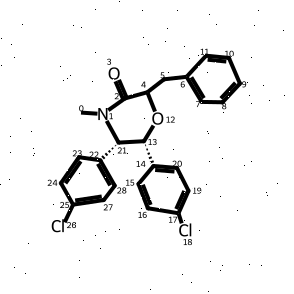 CN1C(=O)C(Cc2ccccc2)O[C@H](c2ccc(Cl)cc2)[C@@H]1c1ccc(Cl)cc1